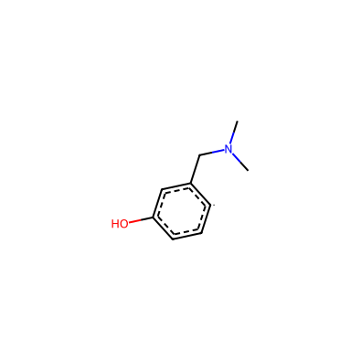 CN(C)Cc1[c]ccc(O)c1